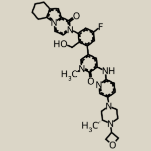 C[C@@H]1CN(c2ccc(Nc3cc(-c4cc(F)cc(-n5ccn6c7c(cc6c5=O)CCCC7)c4CO)cn(C)c3=O)nc2)CCN1C1COC1